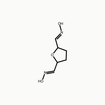 ON=CC1CCC(/C=N/O)O1